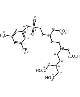 O=C(O)CN(CCN(CCS(=O)(=O)Nc1cc(C(F)(F)F)cc(C(F)(F)F)c1)CC(=O)O)CCN(CC(=O)O)CC(=O)O